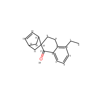 CCc1cccc2c1CCC1(CC3C=CC1C3)C2=O